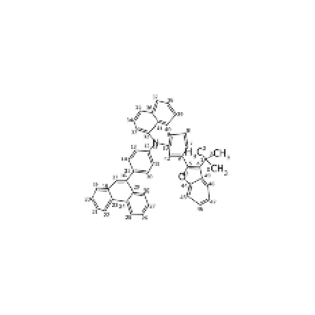 CC(C)(C)c1c(-c2cccc(N(c3ccc(-c4cc5ccccc5c5ccccc45)cc3)c3cccc4ccccc34)c2)oc2ccccc12